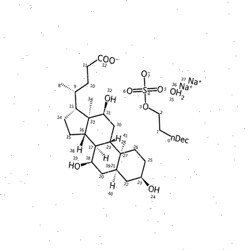 CCCCCCCCCCCCOS(=O)(=O)[O-].C[C@H](CCC(=O)[O-])[C@H]1CC[C@H]2[C@@H]3[C@H](O)C[C@@H]4C[C@H](O)CC[C@]4(C)[C@H]3C[C@H](O)[C@]12C.O.[Na+].[Na+]